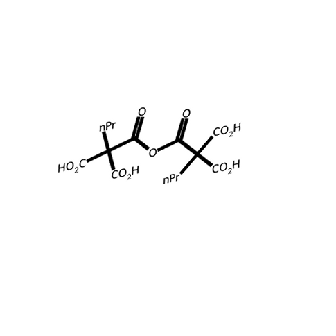 CCCC(C(=O)O)(C(=O)O)C(=O)OC(=O)C(CCC)(C(=O)O)C(=O)O